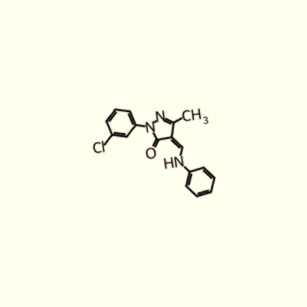 CC1=NN(c2cccc(Cl)c2)C(=O)C1=CNc1ccccc1